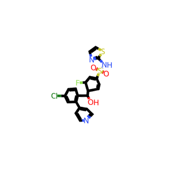 O=S(=O)(Nc1nccs1)C1=CC(F)C(C(O)c2ccc(Cl)cc2-c2ccncc2)C=C1